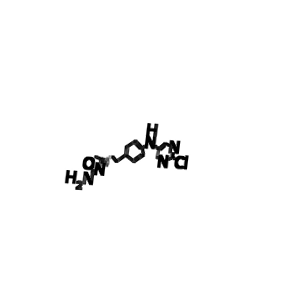 NC1=N[C@@H](CCc2ccc(Nc3cnc(Cl)nc3)cc2)CO1